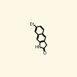 CCc1ccc2cc3c(cc2c1)NC(=O)C3